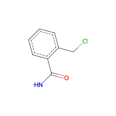 [NH]C(=O)c1ccccc1CCl